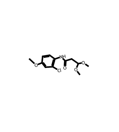 COc1ccc(NC(=O)CC(OC)OC)c(Cl)c1